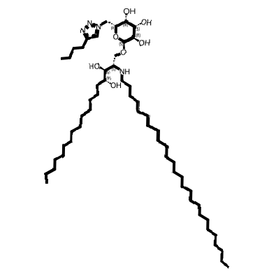 CCCCCCCCCCCCCCCCCCCCCCCCCCN[C@@H](CO[C@H]1O[C@H](Cn2cc(CCCC)nn2)[C@H](O)[C@H](O)[C@H]1O)[C@H](O)[C@H](O)CCCCCCCCCCCCCC